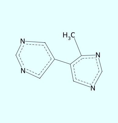 Cc1ncncc1-c1cncnc1